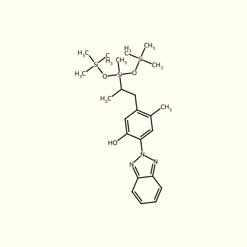 Cc1cc(-n2nc3ccccc3n2)c(O)cc1CC(C)[Si](C)(O[Si](C)(C)C)O[Si](C)(C)C